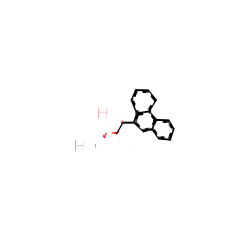 COC(=O)C(O)c1cc2ccccc2c2ccccc12